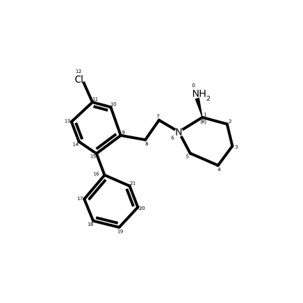 N[C@H]1CCCCN1CCc1cc(Cl)ccc1-c1ccccc1